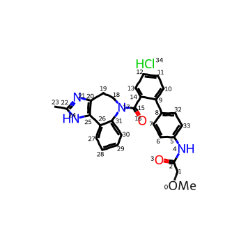 COCC(=O)Nc1ccc(-c2ccccc2C(=O)N2CCc3nc(C)[nH]c3-c3ccccc32)cc1.Cl